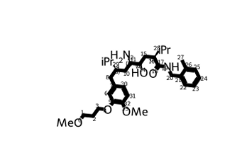 COCCCOc1cc(C[C@@H](C[C@H](N)[C@@H](O)C[C@H](C(=O)NCc2ccccc2C)C(C)C)C(C)C)ccc1OC